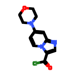 O=C(Cl)c1cnc2cc(N3CCOCC3)ccn12